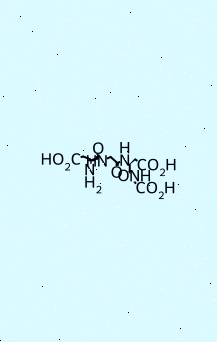 N[C@@H](CC(=O)O)C(=O)NCC(=O)N[C@@H](CC(=O)O)C(=O)NCC(=O)O